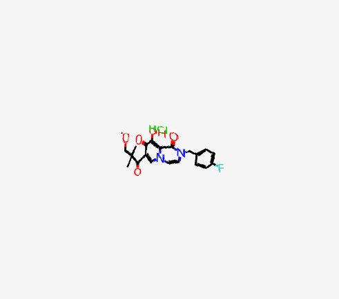 COCC(C)(C)C(=O)c1cn2ccn(Cc3ccc(F)cc3)c(=O)c2c(O)c1=O.Cl